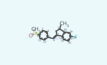 C[C]1C/C(=C\c2ccc([S+](C)[O-])cc2)c2ccc(F)cc21